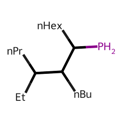 CCCCCCC(P)C(CCCC)C(CC)CCC